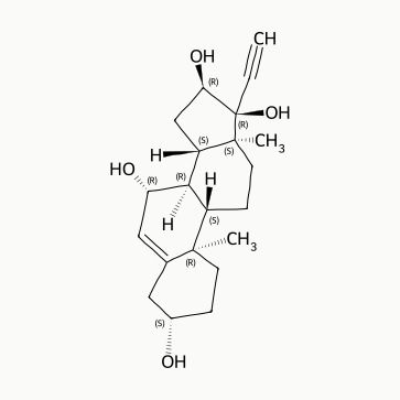 C#C[C@@]1(O)[C@H](O)C[C@H]2[C@@H]3[C@@H](O)C=C4C[C@@H](O)CC[C@]4(C)[C@H]3CC[C@@]21C